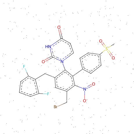 CS(=O)(=O)c1ccc(-c2c(-n3ccc(=O)[nH]c3=O)c(Cc3c(F)cccc3F)[c]c(CBr)c2[N+](=O)[O-])cc1